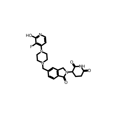 O=C1CCC(N2Cc3cc(CN4CCN(c5ccnc(O)c5F)CC4)ccc3C2=O)C(=O)N1